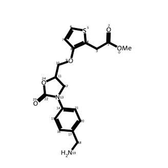 COC(=O)Cc1sccc1OCC1CN(c2ccc(CN)cc2)C(=O)O1